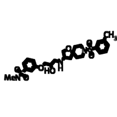 CNS(=O)(=O)c1cccc(OCC(O)CNC2COC3(CCN(S(=O)(=O)c4cccc(C)c4)CC3)C2)c1